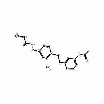 CC(=O)Nc1cccc(CCc2ccc(CNC(=O)NN)cc2)c1.Cl